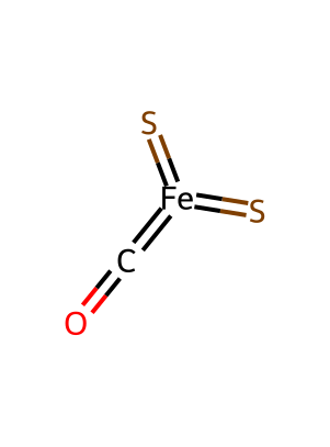 O=[C]=[Fe](=[S])=[S]